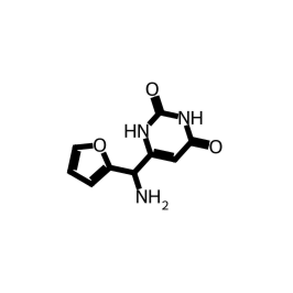 NC(c1cc(=O)[nH]c(=O)[nH]1)c1ccco1